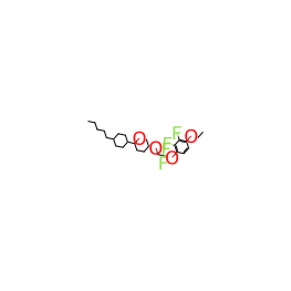 CCCCCC1CCC(C2CCC(OCC(F)(F)Oc3ccc(OCC)c(F)c3F)CO2)CC1